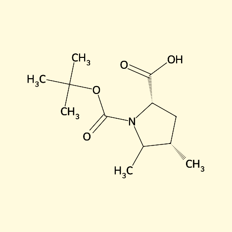 CC1[C@@H](C)C[C@@H](C(=O)O)N1C(=O)OC(C)(C)C